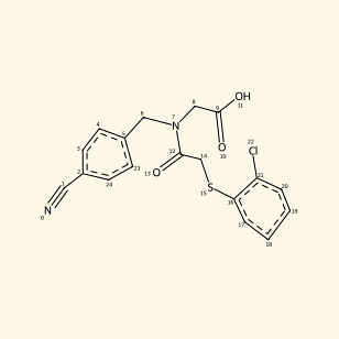 N#Cc1ccc(CN(CC(=O)O)C(=O)CSc2ccccc2Cl)cc1